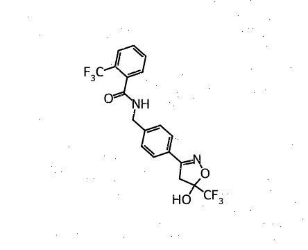 O=C(NCc1ccc(C2=NOC(O)(C(F)(F)F)C2)cc1)c1ccccc1C(F)(F)F